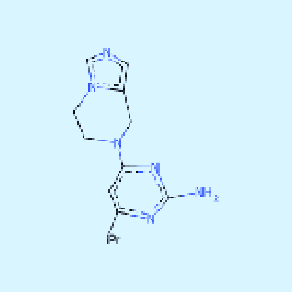 CC(C)c1cc(N2CCn3cncc3C2)nc(N)n1